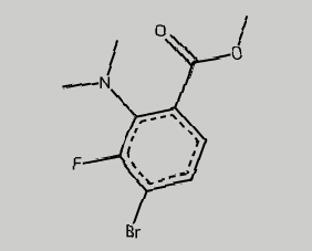 COC(=O)c1ccc(Br)c(F)c1N(C)C